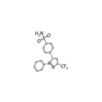 NS(=O)(=O)c1ccc(-c2cc(C(F)(F)F)nn2-c2ccccc2)cc1